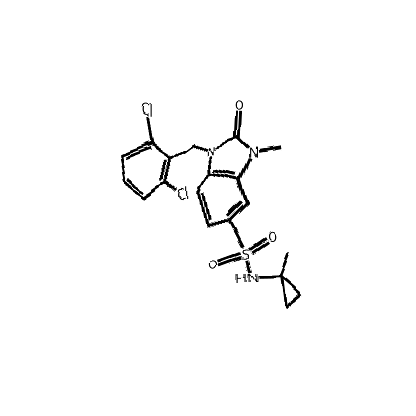 Cn1c(=O)n(Cc2c(Cl)cccc2Cl)c2ccc(S(=O)(=O)NC3(C)CC3)cc21